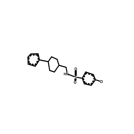 O=S(=O)(NCC1CCC(c2ccccc2)CC1)c1ccc(Cl)cc1